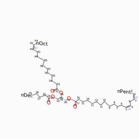 CCCCC/C=C\C/C=C\CCCCCCCCCCCC(=O)OC[C@H](COC(=O)CCCCCCCCCCCCC)OC(=O)CCCCCCCCC/C=C\CCCCCCCC